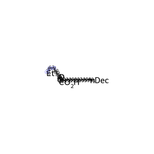 CC/C=C\C/C=C\C/C=C\CCCCCCCC(=O)OC(CCCCCCCCCCCCCCCCCCCCCCCCCCCCCCC)C(=O)O